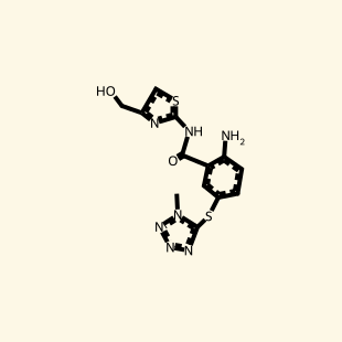 Cn1nnnc1Sc1ccc(N)c(C(=O)Nc2nc(CO)cs2)c1